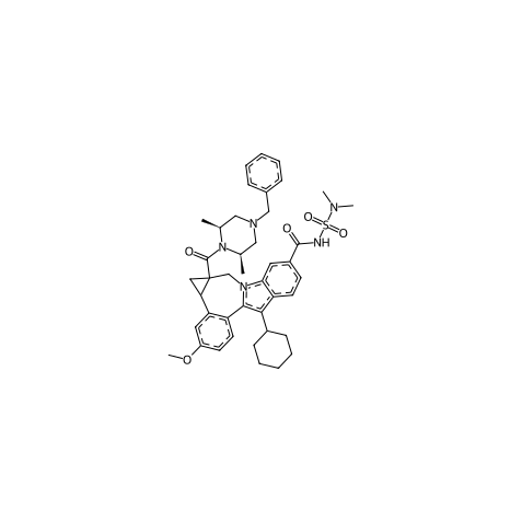 COc1ccc2c(c1)C1CC1(C(=O)N1[C@H](C)CN(Cc3ccccc3)C[C@@H]1C)Cn1c-2c(C2CCCCC2)c2ccc(C(=O)NS(=O)(=O)N(C)C)cc21